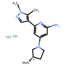 CN[C@@H]1CCN(c2cc(N)nc(-c3cnn(C)c3C)c2)C1.Cl.Cl